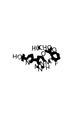 CC(C)(O)c1ccc(-c2cc3c(n4cnnc24)NCc2c(F)ccc4c2[C@@H](CO4)CO3)cn1.O=CO